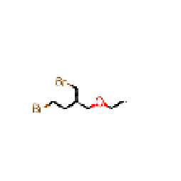 [CH2]COC[C@H](CBr)CCBr